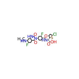 CNc1cc2[nH]c(=O)n(-c3ccc(C(=O)NC(C(=O)O)c4ccc(Cl)s4)c(F)c3)c(=O)c2cc1F